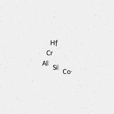 [Al].[Co].[Cr].[Hf].[Si]